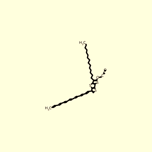 CC#CC#CC#CC#CC#CC#CC#Cc1csc2c1sc1c(CCCCCCCCCCCCCCC)c(OC=C=C=O)sc12